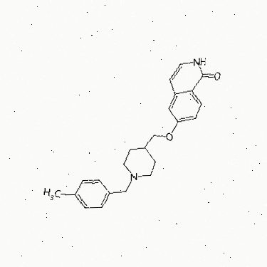 Cc1ccc(CN2CCC(COc3ccc4c(=O)[nH]ccc4c3)CC2)cc1